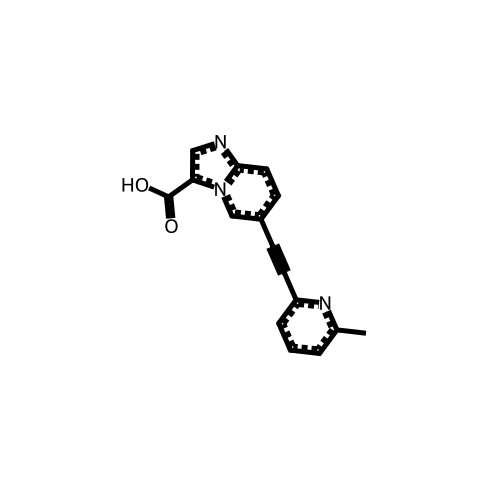 Cc1cccc(C#Cc2ccc3ncc(C(=O)O)n3c2)n1